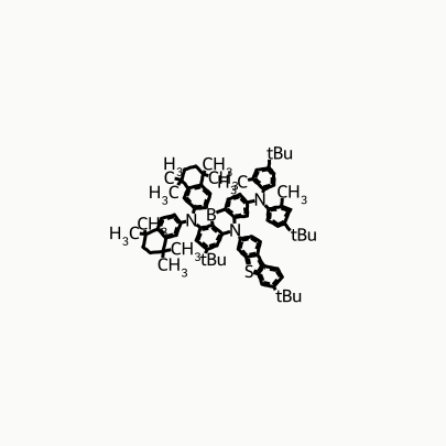 Cc1cc(C(C)(C)C)ccc1N(c1ccc2c(c1)N(c1ccc3c(c1)sc1cc(C(C)(C)C)ccc13)c1cc(C(C)(C)C)cc3c1B2c1cc2c(cc1N3c1ccc3c(c1)C(C)(C)CCC3(C)C)C(C)(C)CCC2(C)C)c1ccc(C(C)(C)C)cc1C